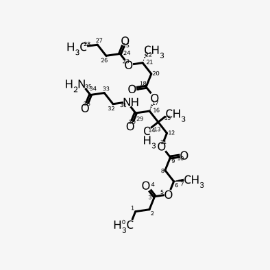 CCCC(=O)O[C@H](C)CC(=O)OCC(C)(C)[C@@H](OC(=O)C[C@@H](C)OC(=O)CCC)C(=O)NCCC(N)=O